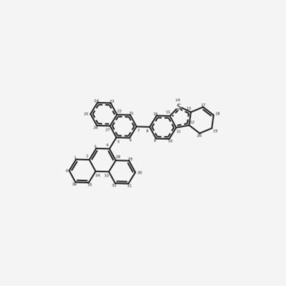 C1=CC2=CC(c3cc(-c4ccc5c6c(sc5c4)C=CCC6)cc4ccccc34)=C3C=CC=CC3C2C=C1